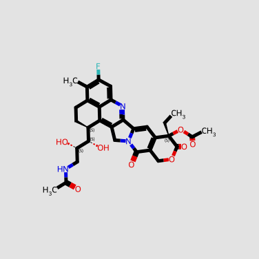 CC[C@@]1(OC(C)=O)C(=O)OCc2c1cc1n(c2=O)Cc2c-1nc1cc(F)c(C)c3c1c2[C@@H]([C@H](O)[C@@H](O)CNC(C)=O)CC3